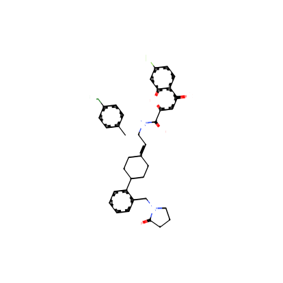 O=C(N[C@H](C=C1CCC(c2ccccc2CN2CCCC2=O)CC1)Cc1ccc(Cl)cc1)c1cc(=O)c2ccc(F)cc2o1